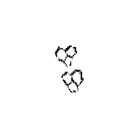 c1cc2c3c(cccc3c1)CC2.c1cc2c3c(cccc3c1)CC2